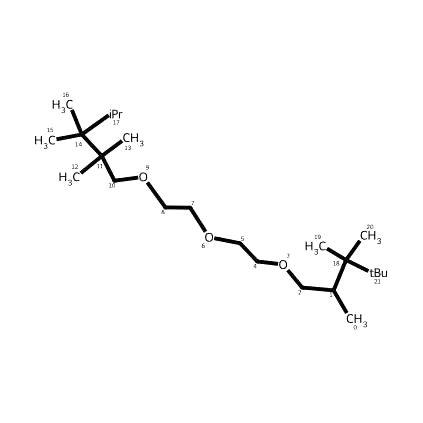 CC(COCCOCCOCC(C)(C)C(C)(C)C(C)C)C(C)(C)C(C)(C)C